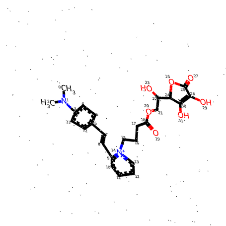 CN(C)c1ccc(/C=C/c2cccc[n+]2CCCC(=O)OCC(O)C2OC(=O)C(O)=C2O)cc1